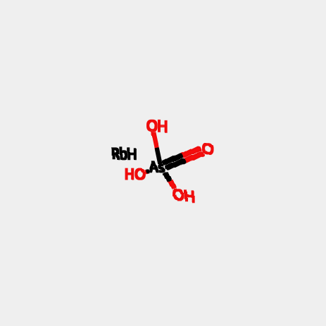 O=[As](O)(O)O.[RbH]